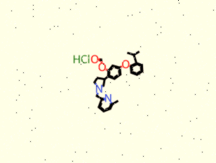 Cc1cccc(CN2CCC(c3ccc(Oc4ccccc4C(C)C)cc3OC=O)C2)n1.Cl